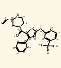 C=C[C@H]1CN(C(=O)c2sc(Nc3cc(C(F)(F)F)ccn3)nc2-c2ccccn2)CCO1